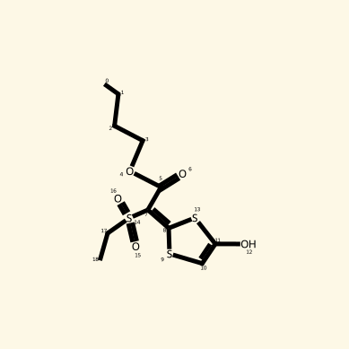 CCCCOC(=O)C(=C1SC=C(O)S1)S(=O)(=O)CC